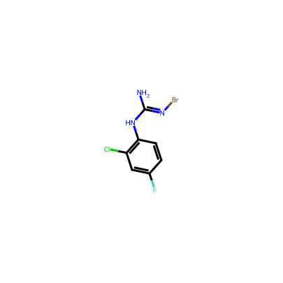 NC(=NBr)Nc1ccc(F)cc1Cl